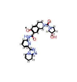 COc1cc2c(cc1C(=O)Nc1cccc(-c3nnc4n3CCCC4)n1)CN(C(=O)N1CC[C@@H](O)C1)CC2